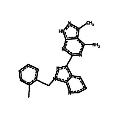 Cc1n[nH]c2nc(-c3nn(Cc4ccccc4F)c4ncccc34)nc(N)c12